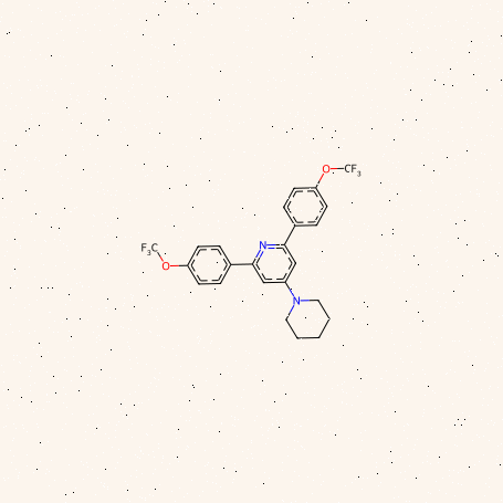 FC(F)(F)Oc1ccc(-c2cc(N3CCCCC3)cc(-c3ccc(OC(F)(F)F)cc3)n2)cc1